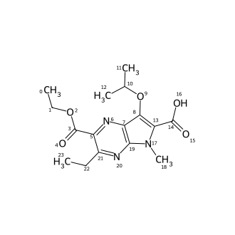 CCOC(=O)c1nc2c(OC(C)C)c(C(=O)O)n(C)c2nc1CC